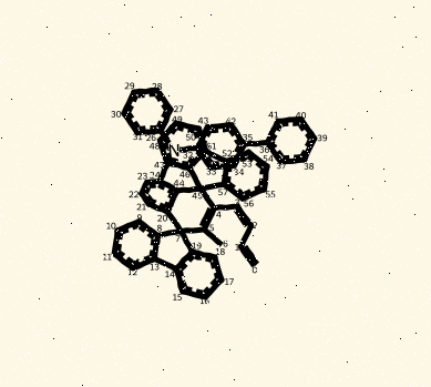 C=C/C=C\C1=C(C)C2(c3ccccc3-c3ccccc32)c2cccc(N(c3ccccc3)c3ccc(-c4ccccc4)cc3)c2C12c1ccccc1-c1ccccc12